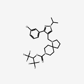 CC(C)n1cc(CN2CCCC23CCN(C(=O)OC(C(F)(F)F)C(F)(F)F)CC3)c(-c2cccc(Cl)c2)n1